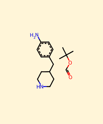 CC(C)(C)OC=O.Nc1ccc(CC2CCNCC2)cc1